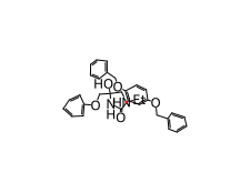 CCNCC(O)(COc1ccccc1)NC(=O)c1cc(OCc2ccccc2)ccc1OCc1ccccc1